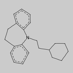 c1ccc2c(c1)CCc1ccccc1N2CCC1CCCCC1